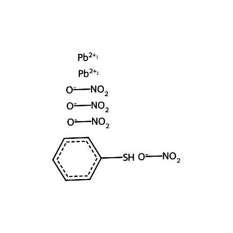 O=[N+]([O-])[O-].O=[N+]([O-])[O-].O=[N+]([O-])[O-].O=[N+]([O-])[O-].Sc1ccccc1.[Pb+2].[Pb+2]